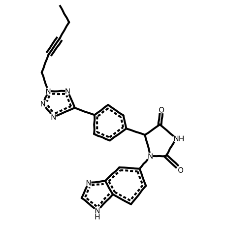 CCC#CCn1nnc(-c2ccc(C3C(=O)NC(=O)N3c3ccc4[nH]cnc4c3)cc2)n1